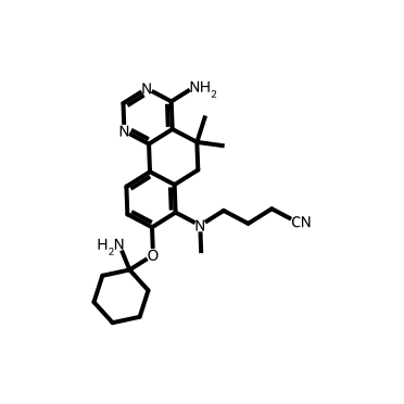 CN(CCCC#N)c1c(OC2(N)CCCCC2)ccc2c1CC(C)(C)c1c(N)ncnc1-2